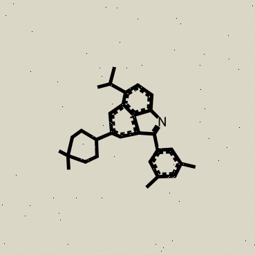 Cc1cc(C)cc(C2=Nc3ccc(C(C)C)c4cc(C5CCC(C)(C)CC5)cc2c34)c1